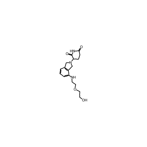 O=C1CCC(N2Cc3cccc(NCCOCCO)c3C2)C(=O)N1